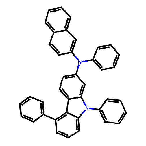 c1ccc(-c2cccc3c2c2ccc(N(c4ccccc4)c4ccc5ccccc5c4)cc2n3-c2ccccc2)cc1